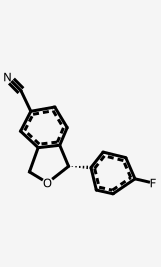 N#Cc1ccc2c(c1)CO[C@H]2c1ccc(F)cc1